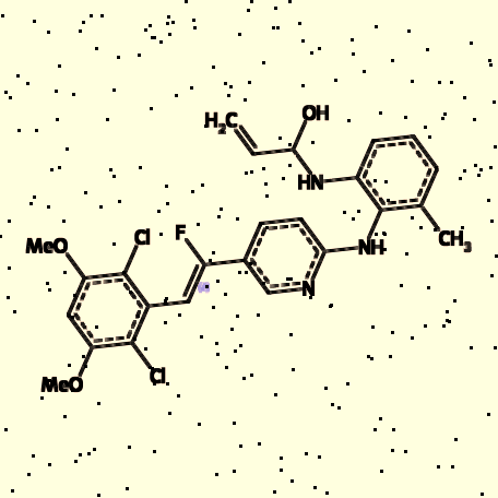 C=CC(O)Nc1cccc(C)c1Nc1ccc(/C(F)=C/c2c(Cl)c(OC)cc(OC)c2Cl)cn1